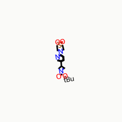 CC(C)(C)OC(=O)N1CC(c2ccc(N3CCS(=O)(=O)CC3)nc2)C1